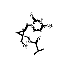 CC(C)C(=O)OC[C@@]1(CO)C/C1=C/n1ccc(N)nc1=O